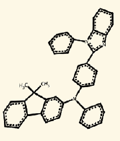 CC1(C)c2ccccc2-c2ccc(N(c3ccccc3)c3ccc(-c4nc5ccccc5n4-c4ccccc4)cc3)cc21